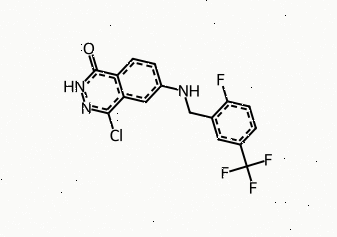 O=c1[nH]nc(Cl)c2cc(NCc3cc(C(F)(F)F)ccc3F)ccc12